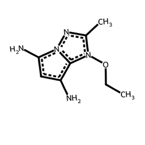 CCOn1c(C)nn2c(N)cc(N)c12